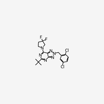 CC(C)(C)c1nc(N2CCC(F)(F)C2)c2nn(Cc3cc(Cl)ccc3Cl)nc2n1